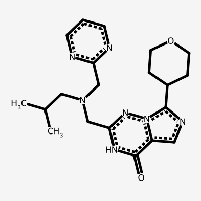 CC(C)CN(Cc1ncccn1)Cc1nn2c(C3CCOCC3)ncc2c(=O)[nH]1